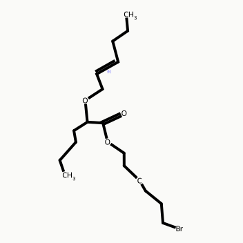 CCC/C=C/COC(CCCC)C(=O)OCCCCCCBr